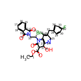 CCOC(=O)C1C(=O)N(CCN2C(=O)c3ccccc3C2=O)c2c(ncc(Cc3ccc(F)cc3)c2Br)C1O